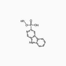 CCCOP(=O)(O)c1cc2c(cn1)[nH]c1ccccc12